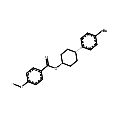 CCCCc1ccc([C@H]2CC[C@H](OC(=O)c3ccc(OCC)cc3)CC2)cc1